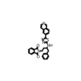 O=C1c2ccccc2C(=O)N1CCC(Cc1ccccc1)Nc1nnc(-c2ccc3cnccc3c2)s1